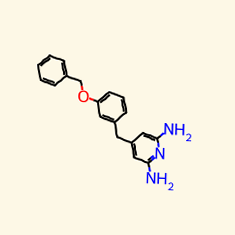 Nc1cc(Cc2cccc(OCc3ccccc3)c2)cc(N)n1